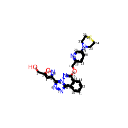 OCc1cc(-c2nnc3c4ccccc4c(OCc4ccc(N5CCSCC5)cn4)nn23)no1